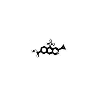 O=C(O)C1CCc2c(cc3cnc(C4CC4)cc3c2S(=O)(=O)Cl)C1